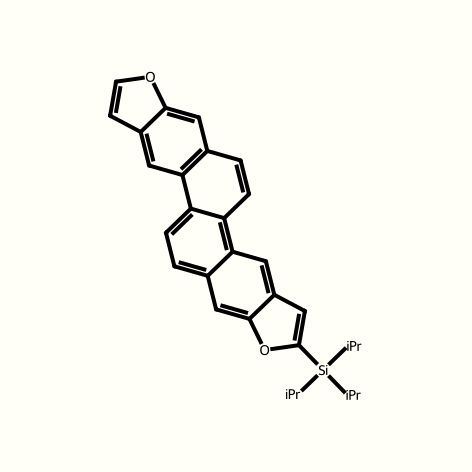 CC(C)[Si](c1cc2cc3c(ccc4c5cc6ccoc6cc5ccc34)cc2o1)(C(C)C)C(C)C